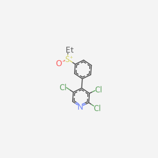 CC[S+]([O-])c1cccc(-c2c(Cl)cnc(Cl)c2Cl)c1